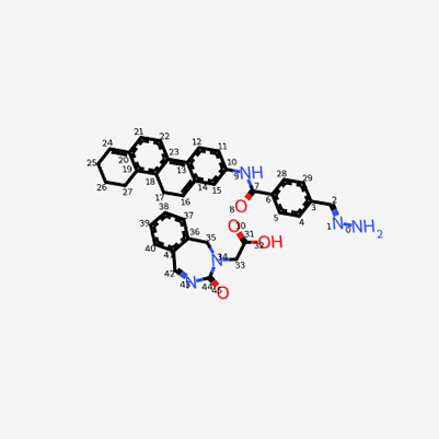 NN=Cc1ccc(C(=O)Nc2ccc3c(c2)=CCc2c4c(ccc2=3)=CCCC4)cc1.O=C(O)CN1Cc2ccccc2C=NC1=O